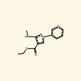 CCOC(=O)c1cn(-c2cccnc2)nc1NC